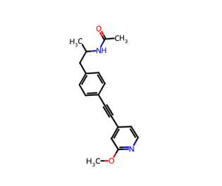 COc1cc(C#Cc2ccc(CC(C)NC(C)=O)cc2)ccn1